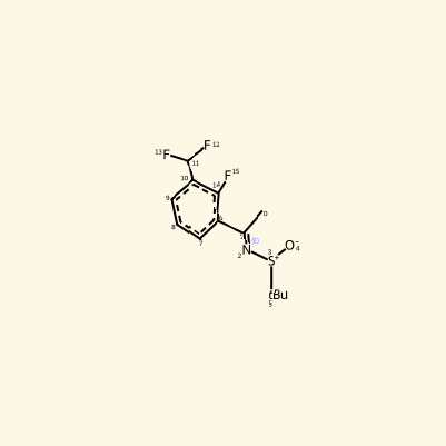 C/C(=N\[S+]([O-])C(C)(C)C)c1cccc(C(F)F)c1F